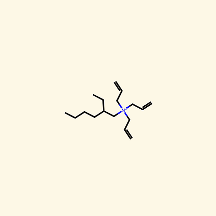 C=CC[N+](CC=C)(CC=C)CC(CC)CCCC